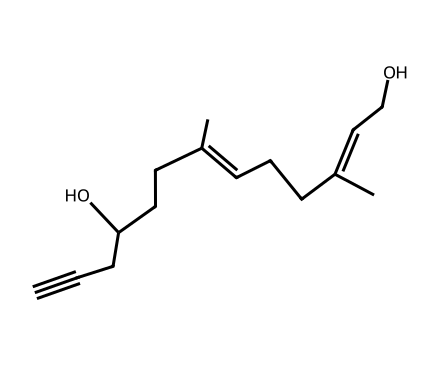 C#CCC(O)CCC(C)=CCCC(C)=CCO